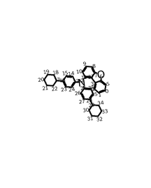 c1ccc2c(c1)oc1cccc(N(c3ccc(C4CCCCC4)cc3)c3ccc(C4CCCCC4)cc3)c12